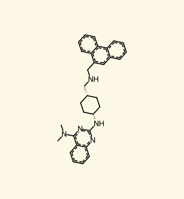 CN(C)c1nc(N[C@H]2CC[C@@H](CNCc3cc4ccccc4c4ccccc34)CC2)nc2ccccc12